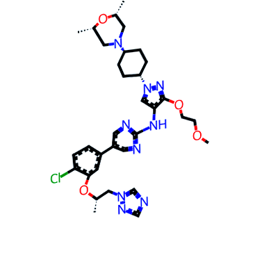 COCCOc1nn([C@H]2CC[C@H](N3C[C@@H](C)O[C@@H](C)C3)CC2)cc1Nc1ncc(-c2ccc(Cl)c(O[C@@H](C)Cn3cncn3)c2)cn1